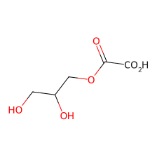 O=C(O)C(=O)OCC(O)CO